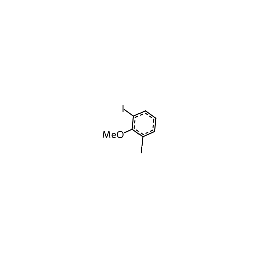 COc1c(I)cccc1I